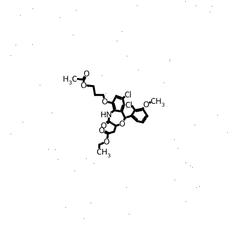 CCOC(=O)CC1OC(c2cccc(OC)c2Cl)c2cc(Cl)cc(OCCCOC(C)=O)c2NC1=O